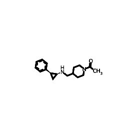 CC(=O)N1CCC(CN[C@@H]2C[C@H]2c2ccccc2)CC1